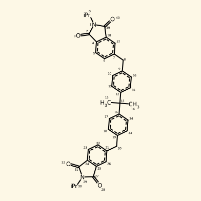 CC(C)N1C(=O)c2ccc(Cc3ccc(C(C)(C)c4ccc(Cc5ccc6c(c5)C(=O)N(C(C)C)C6=O)cc4)cc3)cc2C1=O